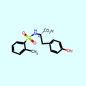 Cc1ccccc1S(=O)(=O)N[C@@H](Cc1ccc(O)cc1)C(=O)O